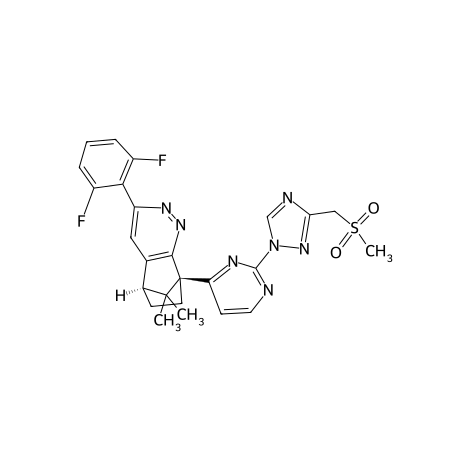 CC1(C)[C@H]2CC[C@@]1(c1ccnc(-n3cnc(CS(C)(=O)=O)n3)n1)c1nnc(-c3c(F)cccc3F)cc12